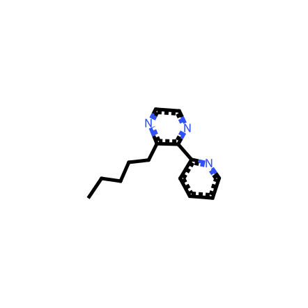 CCCCCc1nccnc1-c1ccccn1